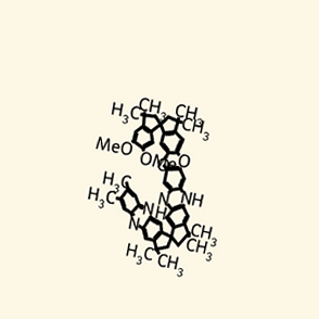 COc1cc2c(cc1OC)C1(CC2(C)C)CC(C)(C)c2cc3oc4cc5[nH]c6cc7c(cc6[nH]c5cc4oc3cc21)C1(CC(C)(C)c2cc3nc4cc(C)c(C)cc4nc3cc21)CC7(C)C